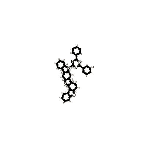 c1ccc(-c2nc(-c3ccccc3)nc(-n3c4ccccc4c4cc5sc6c(ccc7oc8ccccc8c76)c5cc43)n2)cc1